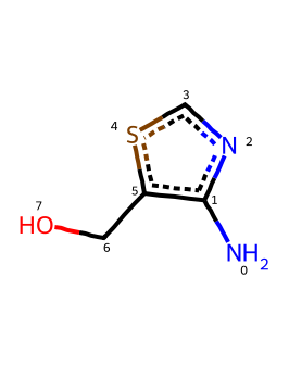 Nc1ncsc1CO